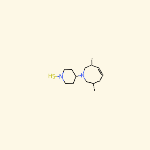 CC1C=CCC(C)CN(C2CCN(S)CC2)C1